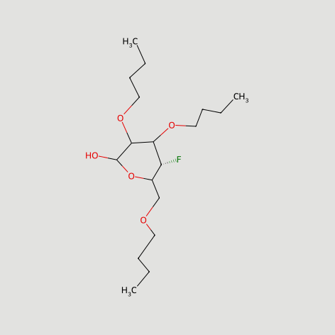 CCCCOCC1OC(O)C(OCCCC)C(OCCCC)[C@@H]1F